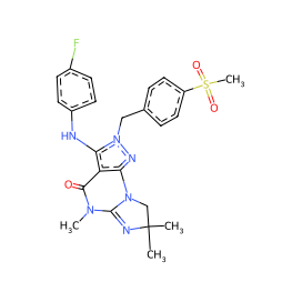 CN1C(=O)c2c(nn(Cc3ccc(S(C)(=O)=O)cc3)c2Nc2ccc(F)cc2)N2CC(C)(C)N=C12